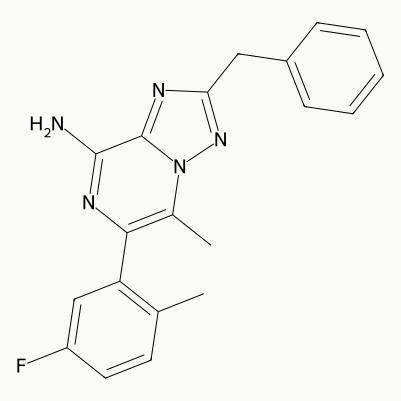 Cc1ccc(F)cc1-c1nc(N)c2nc(Cc3ccccc3)nn2c1C